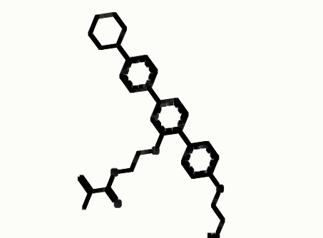 C=C(C)C(=O)OCCOc1cc(-c2ccc(C3CCCCC3)cc2)ccc1-c1ccc(OCCO)cc1